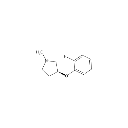 CN1CC[C@H](Oc2ccccc2F)C1